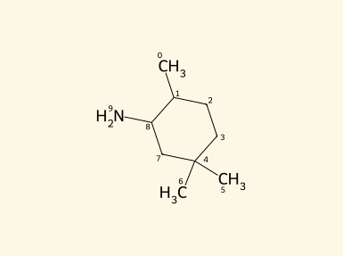 CC1CCC(C)(C)CC1N